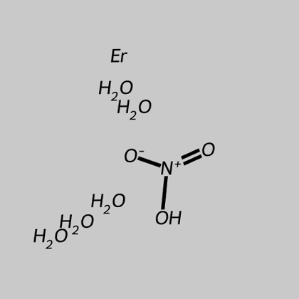 O.O.O.O.O.O=[N+]([O-])O.[Er]